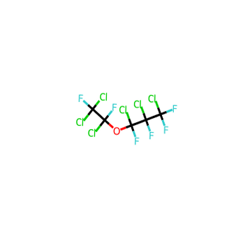 FC(F)(Cl)C(F)(Cl)C(F)(Cl)OC(F)(Cl)C(F)(Cl)Cl